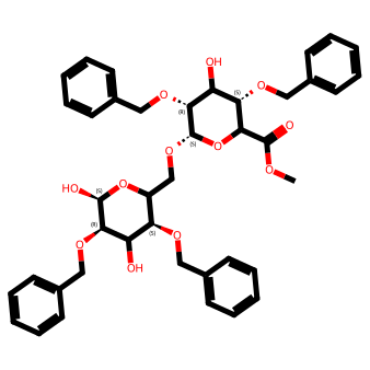 COC(=O)C1O[C@H](OCC2O[C@H](O)[C@H](OCc3ccccc3)C(O)[C@@H]2OCc2ccccc2)[C@H](OCc2ccccc2)C(O)[C@@H]1OCc1ccccc1